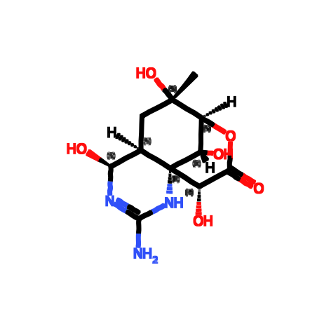 C[C@]1(O)C[C@@H]2[C@H](O)N=C(N)N[C@]23[C@@H](O)C(=O)O[C@H]1[C@@H]3O